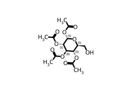 CC(=O)O[C@@H]1O[C@@H](CO)[C@H](OC(C)=O)[C@@H](OC(C)=O)[C@@H]1OC(C)=O